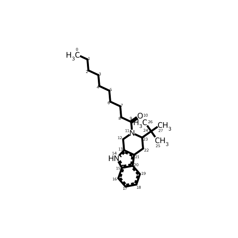 CCCCCCCCCC(=O)N1Cc2[nH]c3ccccc3c2CC1C(C)(C)C